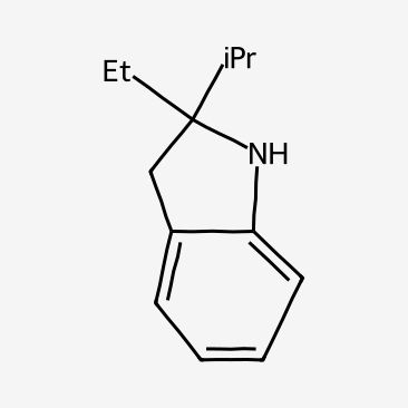 CCC1(C(C)C)Cc2ccccc2N1